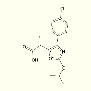 CC(C)Oc1nc(-c2ccc(Cl)cc2)c(C(C)C(=O)O)o1